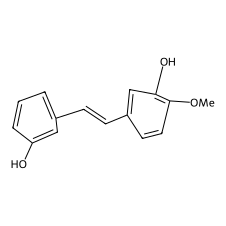 COc1ccc(C=Cc2cccc(O)c2)cc1O